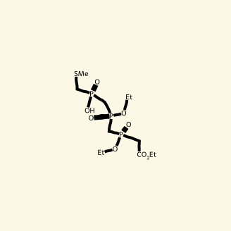 CCOC(=O)CP(=O)(CP(=O)(CP(=O)(O)CSC)OCC)OCC